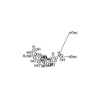 CCCCCCCCCCCCC/C=C/[C@@H](O)[C@H](CO[C@@H]1OC(CO)[C@@H](O[C@@H]2OC(CO)[C@H](O)[C@H](O[C@@H]3OC(CO)[C@@H](O[C@@H]4OC(CO)[C@H](O)[C@H](O[C@@H]5OC(CO)[C@@H](O)[C@H](O)C5NC(C)=O)C4O)[C@H](O)C3NC(C)=O)C2O)[C@H](O)C1O)NC(=O)CCCCCCCCCCCCCCCCCCCCCCCCC